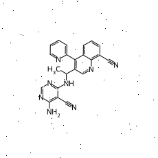 CC(Nc1ncnc(N)c1C#N)c1cnc2c(C#N)cccc2c1-c1ccccn1